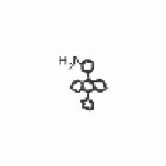 Nc1cccc(-c2c3c(c(-c4ccccc4)c4ccccc24)CCC=C3)c1